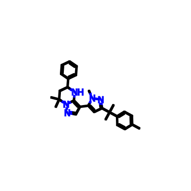 Cc1ccc(C(C)(C)c2cc(-c3cnn4c3NC(c3ccccc3)CC4(C)C)n(C)n2)cc1